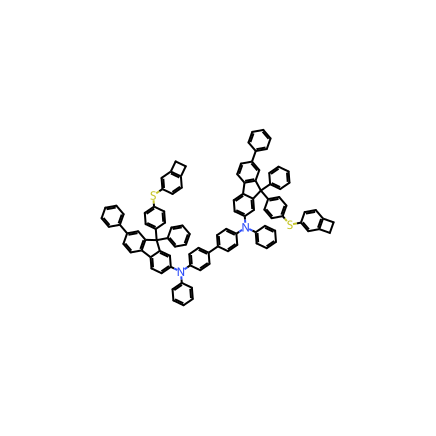 c1ccc(-c2ccc3c(c2)C(c2ccccc2)(c2ccc(Sc4ccc5c(c4)CC5)cc2)c2cc(N(c4ccccc4)c4ccc(-c5ccc(N(c6ccccc6)c6ccc7c(c6)C(c6ccccc6)(c6ccc(Sc8ccc9c(c8)CC9)cc6)c6cc(-c8ccccc8)ccc6-7)cc5)cc4)ccc2-3)cc1